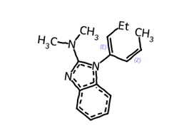 C/C=C\C(=C/CC)n1c(N(C)C)nc2ccccc21